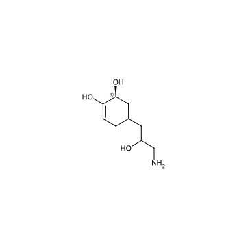 NCC(O)CC1CC=C(O)[C@@H](O)C1